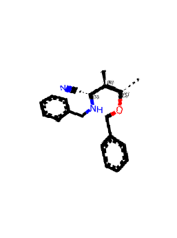 C[C@@H]([C@H](C)OCc1ccccc1)[C@@H](C#N)NCc1ccccc1